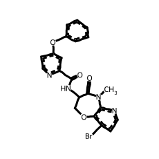 CN1C(=O)C(NC(=O)c2cc(Oc3ccccc3)ccn2)COc2c(Br)ccnc21